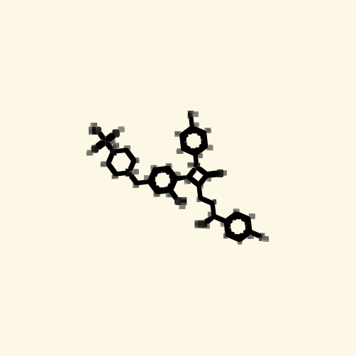 O=C1C(CC[C@H](O)c2ccc(F)cc2)[C@@H](c2ccc(CN3CCN(S(=O)(=O)O)CC3)cc2O)N1c1ccc(F)cc1